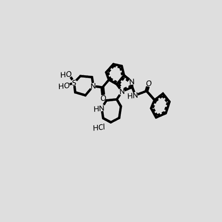 Cl.O=C(Nc1nc2cccc(C(=O)N3CCS(O)(O)CC3)c2n1C1CCCCNC1)c1ccccc1